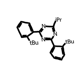 CC(C)c1nc(-c2ccccc2C(C)(C)C)nc(-c2ccccc2C(C)(C)C)n1